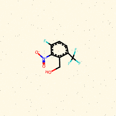 O=[N+]([O-])c1c(F)ccc(C(F)(F)F)c1CO